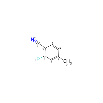 CC1=CC(F)C(C#N)C=C1